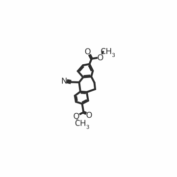 COC(=O)c1ccc2c(c1)CCc1cc(C(=O)OC)ccc1C2C#N